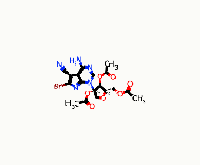 CC(=O)OC[C@@H]1OC[C@@](OC(C)=O)(n2cnc(N)c3c(C#N)c(Br)nc2-3)C1OC(C)=O